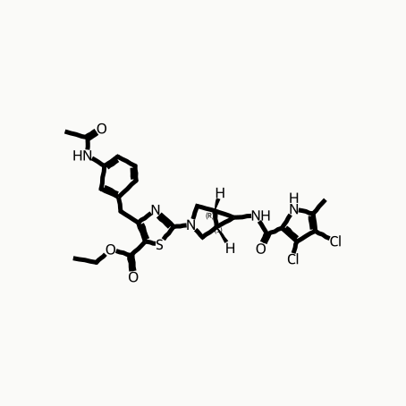 CCOC(=O)c1sc(N2C[C@@H]3C(NC(=O)c4[nH]c(C)c(Cl)c4Cl)[C@@H]3C2)nc1Cc1cccc(NC(C)=O)c1